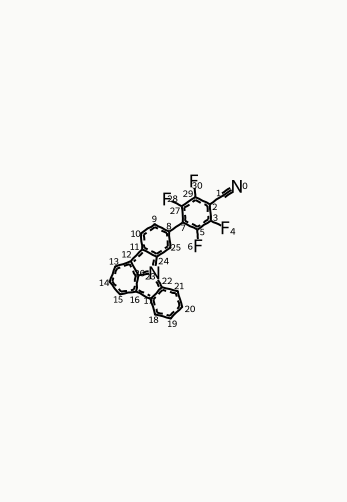 N#Cc1c(F)c(F)c(-c2ccc3c4cccc5c6ccccc6n(c3c2)c54)c(F)c1F